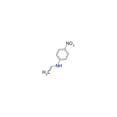 C=CNc1ccc([N+](=O)[O-])cc1